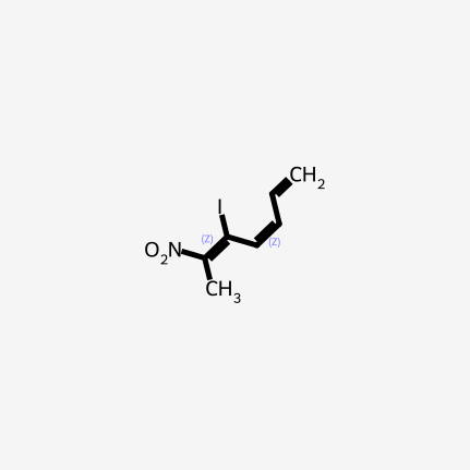 C=C/C=C\C(I)=C(/C)[N+](=O)[O-]